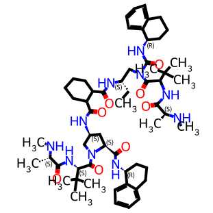 CC[C@@H](CN(C(=O)N[C@@H]1CCCc2ccccc21)C(=O)C(NC(=O)[C@H](C)NC)C(C)(C)C)NC(=O)C1CCCCC1C(=O)N[C@H]1C[C@@H](C(=O)N[C@@H]2CCCc3ccccc32)N(C(=O)[C@@H](NC(=O)[C@H](C)NC)C(C)(C)C)C1